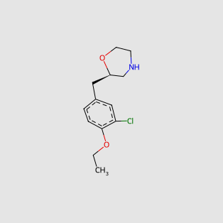 CCOc1ccc(C[C@@H]2CNCCO2)cc1Cl